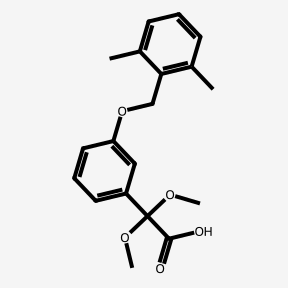 COC(OC)(C(=O)O)c1cccc(OCc2c(C)cccc2C)c1